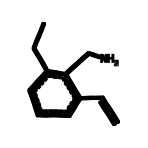 C=Cc1cccc(CC)c1CN